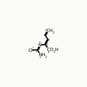 C=C/C=C(\N=C(/N)Cl)C(=O)O